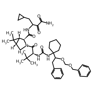 CC(C)(C)[C@H](NC(=O)NC1(C(Cc2ccccc2)OCOCc2ccccc2)CCCCC1)C(=O)N1C[C@H]2[C@@H]([C@H]1C(=O)NC(CC1CC1)C(=O)C(N)=O)C2(C)C